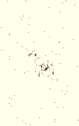 CCc1cc(N2CCCOCC2c2cc(N(C)C(=O)C3CC3)ccc2Cl)nc(N)n1